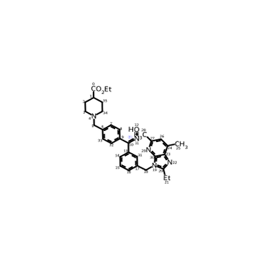 CCOC(=O)C1CCN(Cc2ccc(/C(=N\O)c3cccc(Cn4c(CC)nc5c(C)cc(C)nc54)c3)cc2)CC1